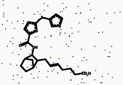 O=C(O)CCC/C=C/CC1C2CCC(C2)C1NC(=O)c1ccc(Sc2ccsc2)s1